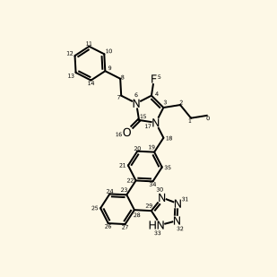 CCCc1c(F)n(CCc2ccccc2)c(=O)n1Cc1ccc(-c2ccccc2-c2nnn[nH]2)cc1